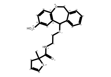 CC1(C(=O)NCCSC2c3ccccc3COc3ccc(C(=O)O)cc32)CC=CS1